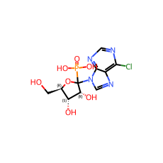 O=P(O)(O)C1(n2cnc3c(Cl)ncnc32)O[C@H](CO)[C@@H](O)[C@H]1O